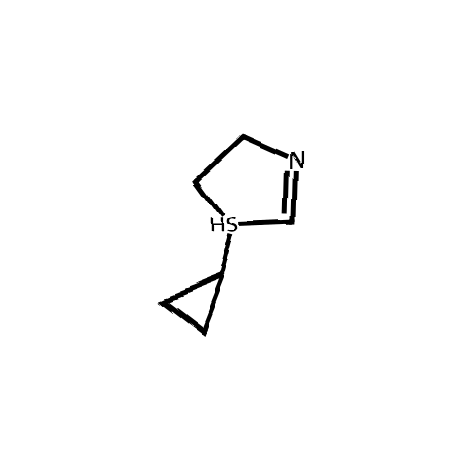 C1=NCC[SH]1C1CC1